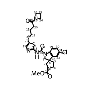 COC(=O)N1CCC2(C1)CN(C(=O)Nc1ncc(SCCCC(=O)N3CCC3)s1)c1ccc(Cl)cc12